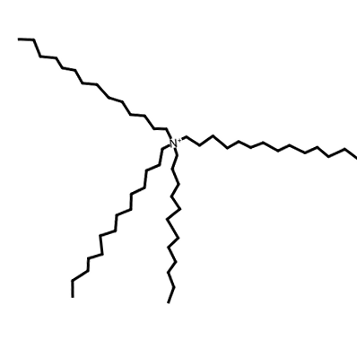 CCCCCCCCCCCCCC[N+](CCCCCCCCCCCC)(CCCCCCCCCCCCCC)CCCCCCCCCCCCCC